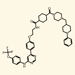 O=C(NCCOc1ccc(-c2cc(Nc3ccc(OC(F)(F)F)cc3)ncn2)cc1)C1CCC(C(=O)N2CCN(CC3CCN(c4ccccc4)CC3)CC2)CC1